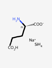 N[C@@H](CCC(=O)O)C(=O)[O-].[Na+].[SiH4]